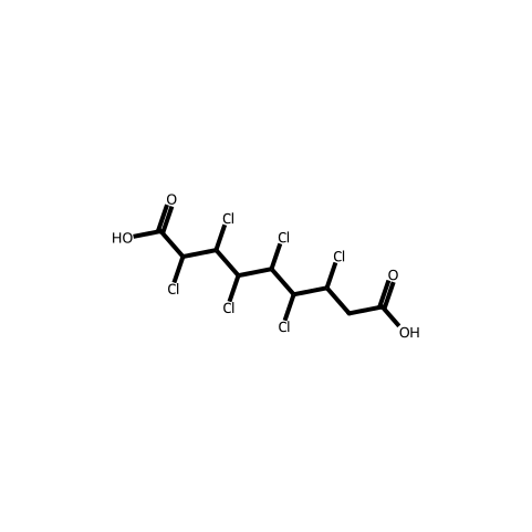 O=C(O)CC(Cl)C(Cl)C(Cl)C(Cl)C(Cl)C(Cl)C(=O)O